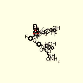 CC1CNCCN1CCOc1cc(N2C3CCC2CN(c2cc(-c4cc(F)ccc4OCc4ccc(NC(=O)[C@H](CCCNC(N)=O)NC(=O)C5(C(=O)O)CCC5)cc4)nnc2N)C3)ccn1.O=C(O)C(F)(F)F